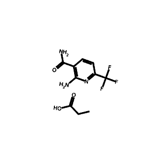 CCC(=O)O.NC(=O)c1ccc(C(F)(F)F)nc1N